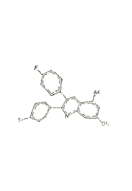 CC(=O)c1cc(C)cc2nc(-c3ccc(F)cc3)c(-c3ccc(F)cc3)cc12